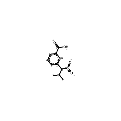 CC(C)C(c1cccc(C(=O)O)n1)[SH](=O)=O